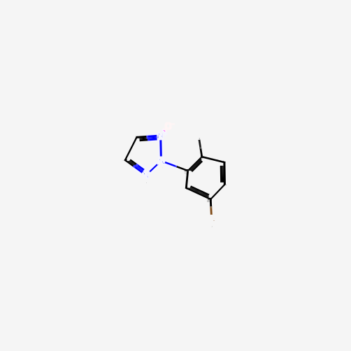 [O-][n+]1ccnn1-c1cc(Br)ccc1C(F)(F)F